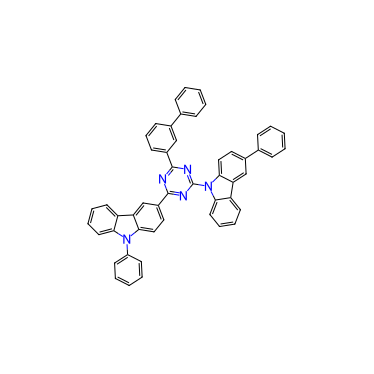 c1ccc(-c2cccc(-c3nc(-c4ccc5c(c4)c4ccccc4n5-c4ccccc4)nc(-n4c5ccccc5c5cc(-c6ccccc6)ccc54)n3)c2)cc1